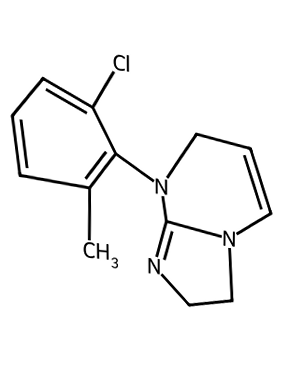 Cc1cccc(Cl)c1N1CC=CN2CCN=C21